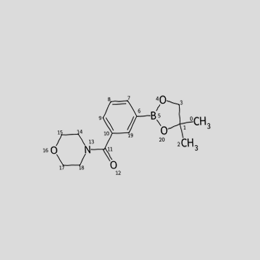 CC1(C)COB(c2cccc(C(=O)N3CCOCC3)c2)O1